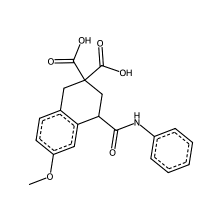 COc1ccc2c(c1)C(C(=O)Nc1ccccc1)CC(C(=O)O)(C(=O)O)C2